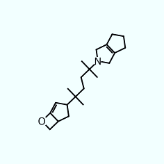 CC(C)(CCC(C)(C)N1CC2=C(CCC2)C1)C1C=C2OCC2C1